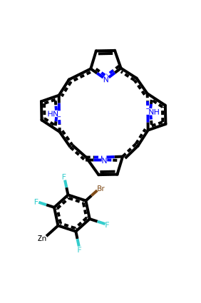 C1=Cc2cc3ccc(cc4nc(cc5ccc(cc1n2)[nH]5)C=C4)[nH]3.Fc1c(F)c(Br)c(F)c(F)[c]1[Zn]